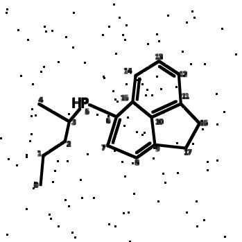 CCCC(C)Pc1ccc2c3c(cccc13)CC2